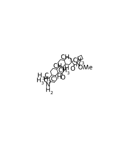 CON(C(=O)[C@@]1(C)CC[C@]2(C)CC[C@]3(C)C(=CC(=O)[C@@H]4[C@@]5(C)CC[C@H](N)C(C)(C)C5CC[C@]43C)[C@@H]2C1)C1CCC1